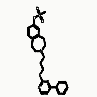 CS(=O)(=O)Oc1ccc2c(c1)CCN(CCCSc1nccc(-c3ccccc3)n1)CC2